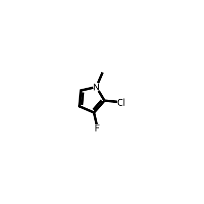 Cn1ccc(F)c1Cl